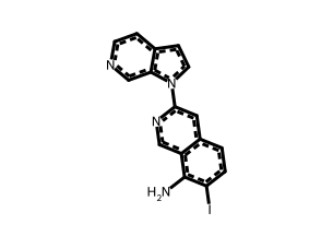 Nc1c(I)ccc2cc(-n3ccc4ccncc43)ncc12